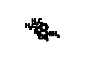 Cc1ccc(C(N)=O)c2c1c(C)nn2C